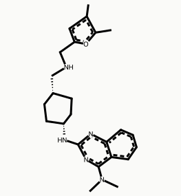 Cc1cc(CNC[C@H]2CC[C@@H](Nc3nc(N(C)C)c4ccccc4n3)CC2)oc1C